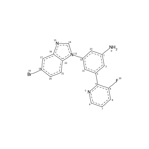 Nc1cc(-c2ncccc2F)cc(-n2cnc3cc(Br)ccc32)c1